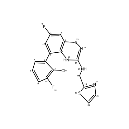 Fc1cc2c(c(-c3cccc(F)c3Cl)c1)NC(NCc1nccs1)=NS2